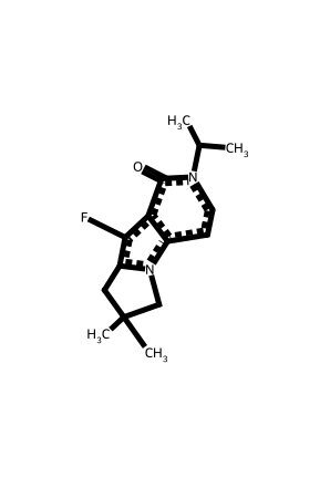 CC(C)n1ccc2c(c(F)c3n2CC(C)(C)C3)c1=O